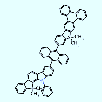 CC1(C)c2ccccc2-c2ccc3c4cc(-c5c6ccccc6c(-c6ccc7c(c6)[Si](C)(C)c6cc8c9ccccc9c9ccccc9c8cc6-7)c6ccccc56)ccc4n(-c4ccccc4)c3c21